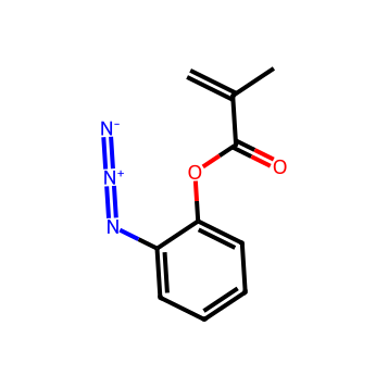 C=C(C)C(=O)Oc1ccccc1N=[N+]=[N-]